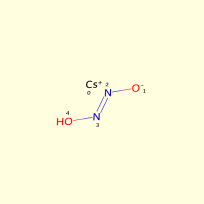 [Cs+].[O-]N=NO